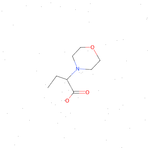 CCC(C([O])=O)N1CCOCC1